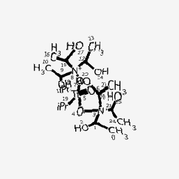 CC(O)[N+]([O][Ti](=[O])([O][N+](C(C)O)(C(C)O)C(C)O)([CH](C)C)[CH](C)C)(C(C)O)C(C)O